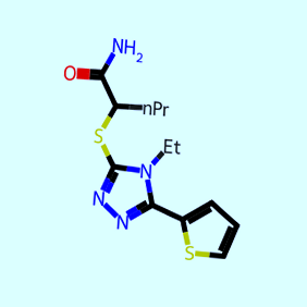 CCCC(Sc1nnc(-c2cccs2)n1CC)C(N)=O